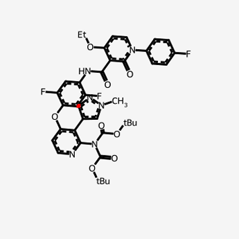 CCOc1ccn(-c2ccc(F)cc2)c(=O)c1C(=O)Nc1cc(F)c(Oc2ccnc(N(C(=O)OC(C)(C)C)C(=O)OC(C)(C)C)c2-c2cnn(C)c2)cc1F